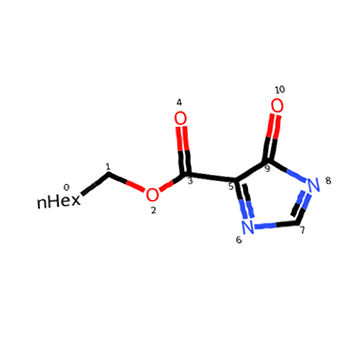 CCCCCCCOC(=O)C1=NC=NC1=O